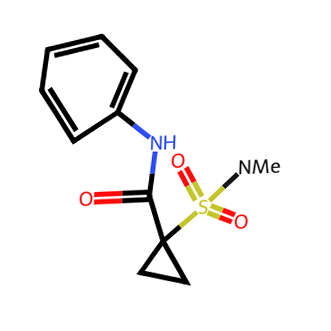 CNS(=O)(=O)C1(C(=O)Nc2ccccc2)CC1